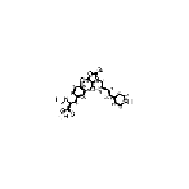 COC(=O)C(N)Cc1ccc(OC2OC(=O)N(CCCCC3CCNCC3)C2C)cc1